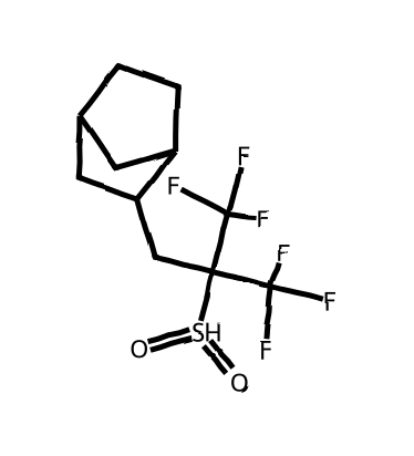 O=[SH](=O)C(CC1CC2CCC1C2)(C(F)(F)F)C(F)(F)F